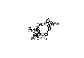 C=CC(=O)N1C[C@H](C(=O)N(C)[C@H](C(=O)N[C@@H]([SiH3])C2Cc3cccc(c3)-c3ccc4c(c3)c(c(-c3cccnc3[C@H](C)OC)n4CC)CC(C)(C)COC(=O)[C@@H]3CCCN(N3)C2=O)C(C)C)[C@@H](C)C1